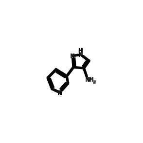 Nc1c[nH]nc1-c1cccnc1